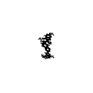 CO[C@@]1(C)CN(c2ccc3c(n2)CC[C@H](NC(=O)c2sc4nc(C)ccc4c2N)C3)C[C@@H]1N